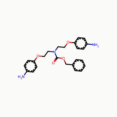 Nc1ccc(OCCN(CCOc2ccc(N)cc2)C(=O)OCc2ccccc2)cc1